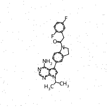 CC(C)n1cc(-c2ccc3c(c2)CCN3C(=O)Cc2cc(F)ccc2F)c2c(N)ncnc21